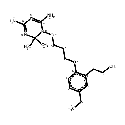 CCCc1cc(CC)ccc1OCCCON1C(N)=NC(N)=NC1(C)C